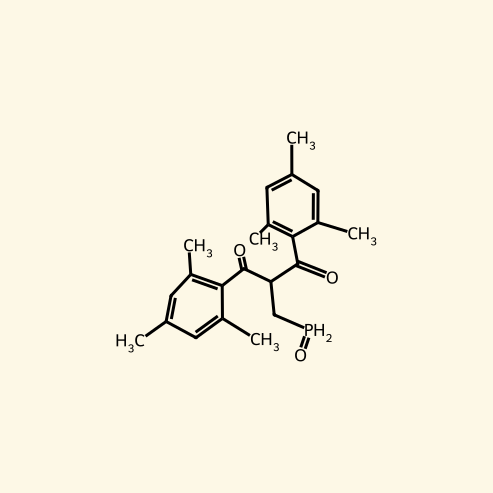 Cc1cc(C)c(C(=O)C(C[PH2]=O)C(=O)c2c(C)cc(C)cc2C)c(C)c1